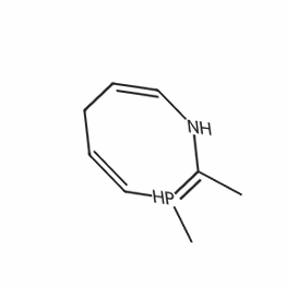 C/C1=[PH](C)/C=C\CC=CN1